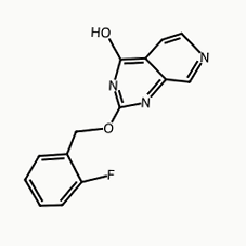 Oc1nc(OCc2ccccc2F)nc2cnccc12